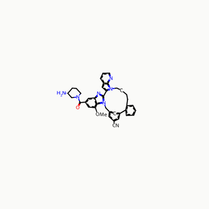 COc1cc(C(=O)N2CCC[C@@H](N)C2)cc2nc3n(c12)Cc1cc(C#N)cc(c1)-c1ccccc1CCCCn1c-3cc2cccnc21